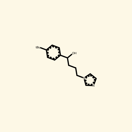 CC(C)(C)c1ccc(C(O)CCCn2ccnc2)cc1